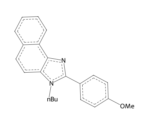 CCCCn1c(-c2ccc(OC)cc2)nc2c3ccccc3ccc21